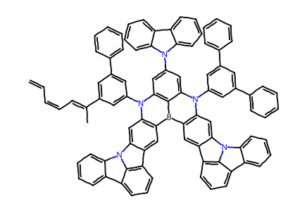 C=C/C=C\C=C(/C)c1cc(-c2ccccc2)cc(N2c3cc4c(cc3B3c5cc6c7cccc8c9ccccc9n(c6cc5N(c5cc(-c6ccccc6)cc(-c6ccccc6)c5)c5cc(-n6c9ccccc9c9ccccc96)cc2c53)c87)c2cccc3c5ccccc5n4c32)c1